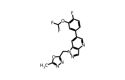 Cc1nnc(Cn2ncc3ncc(-c4ccc(F)c(OC(F)F)c4)cc32)o1